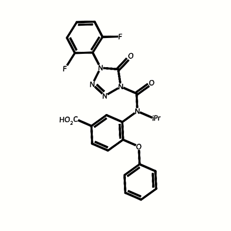 CC(C)N(C(=O)n1nnn(-c2c(F)cccc2F)c1=O)c1cc(C(=O)O)ccc1Oc1ccccc1